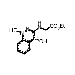 CCOC(=O)CNc1n[n+](O)c2ccccc2[n+]1O